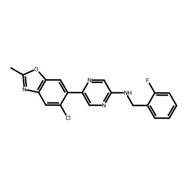 Cc1nc2cc(Cl)c(-c3cnc(NCc4ccccc4F)cn3)cc2o1